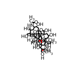 [2H]CC(O)C(O)C1OC(C(=O)O)(C(CC2(C(=O)O)CC(O)C(NC(C)=O)C(C(O)C(O)CO)O2)C(C)(CC2(C(=O)O)CC(O)C(NC(C)=O)C(C(O)C(O)CO)O2)C(C(C)C)C(C)C)CC(O)C1C